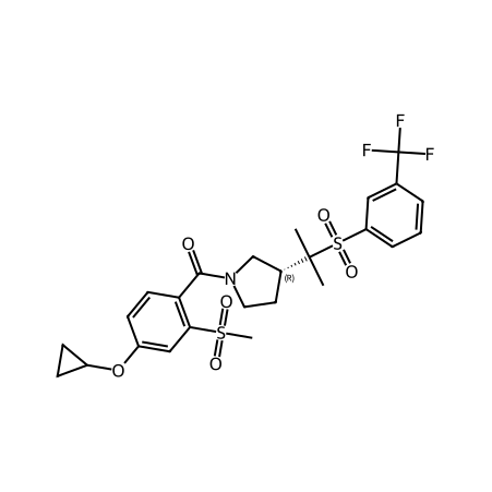 CC(C)([C@@H]1CCN(C(=O)c2ccc(OC3CC3)cc2S(C)(=O)=O)C1)S(=O)(=O)c1cccc(C(F)(F)F)c1